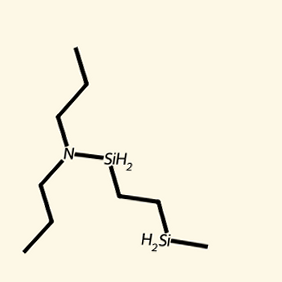 CCCN(CCC)[SiH2]CC[SiH2]C